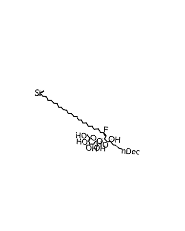 CCCCCCCCCCCCCC[C@@H](O)[C@@H](O)[C@@H](/C=C(/F)CCCCCCCCCCCCCCCCCCCCCCC[Si](C)(C)C)COC1OC(CO)C(O)C(O)C1O